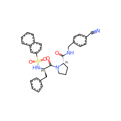 N#Cc1ccc(CNC(=O)[C@@H]2CCCN2C(=O)[C@@H](Cc2ccccc2)NS(=O)(=O)c2ccc3ccccc3c2)cc1